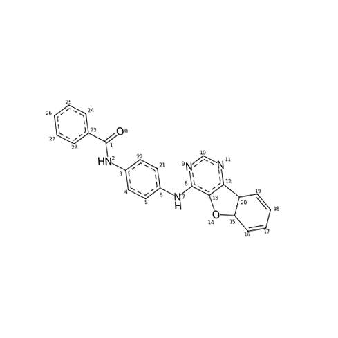 O=C(Nc1ccc(Nc2ncnc3c2OC2C=CC=CC32)cc1)c1ccccc1